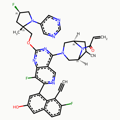 C#Cc1c(F)ccc2cc(O)cc(-c3ncc4c(N5C[C@H]6CC(C#N)[C@@H](C5)N6C(=O)C=C)nc(OC[C@]5(C)C[C@@H](F)CN5c5cncnc5)nc4c3F)c12